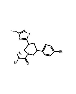 CCc1ccc(C2CC(c3nc(C(C)(C)C)no3)CN(C(=O)N(C)CC)C2)cc1